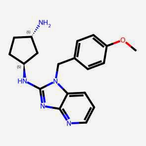 COc1ccc(Cn2c(N[C@H]3CC[C@H](N)C3)nc3ncccc32)cc1